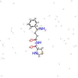 NC(CCC(=O)NC(=O)C1CSCN1)c1ccccc1